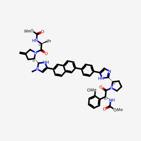 C=C1C[C@@H](C2NC(c3ccc4cc(-c5ccc(-c6cnc([C@@H]7CCCN7C(=O)[C@H](NC(=O)OC)c7ccccc7OC)[nH]6)cc5)ccc4c3)=CN2C)N(C(=O)[C@@H](NC(=O)OC)C(C)C)C1